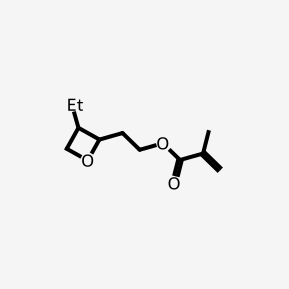 C=C(C)C(=O)OCCC1OCC1CC